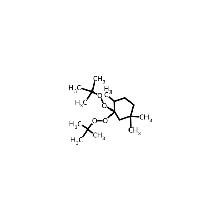 CC1CCC(C)(C)CC1(OOC(C)(C)C)OOC(C)(C)C